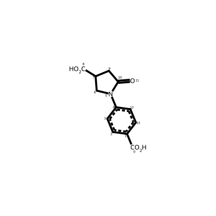 O=C(O)c1ccc(N2CC(C(=O)O)CC2=O)cc1